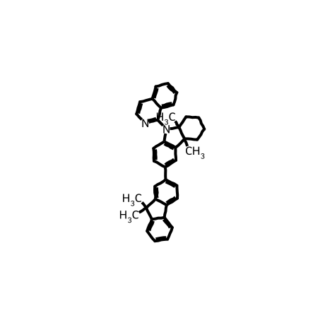 CC1(C)c2ccccc2-c2ccc(-c3ccc4c(c3)C3(C)CCCCC3(C)N4c3nccc4ccccc34)cc21